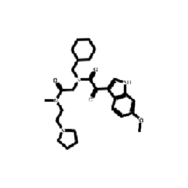 COc1ccc2c(C(=O)C(=O)N(CC(=O)N(C)CCN3CCCC3)CC3CCCCC3)c[nH]c2c1